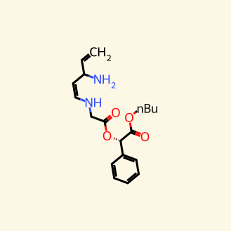 C=CC(N)/C=C\NCC(=O)O[C@H](C(=O)OCCCC)c1ccccc1